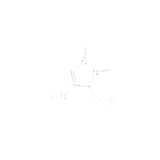 CN1C=C([N+](=O)[O-])C(C(=O)O)N1C